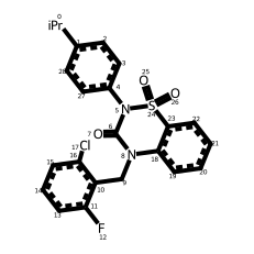 CC(C)c1ccc(N2C(=O)N(Cc3c(F)cccc3Cl)c3ccccc3S2(=O)=O)cc1